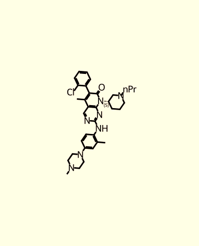 CCCN1CCC[C@H](n2c(=O)c(-c3ccccc3Cl)c(C)c3cnc(Nc4ccc(N5CCN(C)CC5)cc4C)nc32)C1